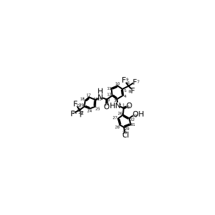 O=C(Nc1cc(C(F)(F)F)ccc1C(=O)Nc1ccc(C(F)(F)F)cc1)c1ccc(Cl)cc1O